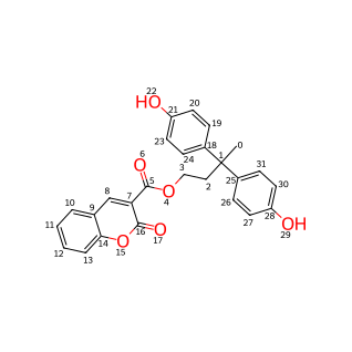 CC(CCOC(=O)c1cc2ccccc2oc1=O)(c1ccc(O)cc1)c1ccc(O)cc1